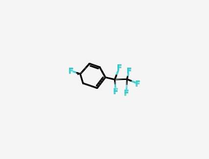 F[C]1C=CC(C(F)(F)C(F)(F)F)=CC1